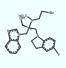 CC(C)(C)CCN(C(=O)O)[C@](CO)(CN1CCc2cc(F)ccc21)Cn1cnc2ccccc21